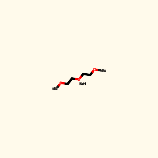 CCCCOCCOCCOCCCC.[NaH]